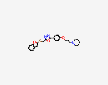 c1ccc2oc(SCc3nnc(-c4ccc(OCCCN5CCCCC5)cc4)o3)cc2c1